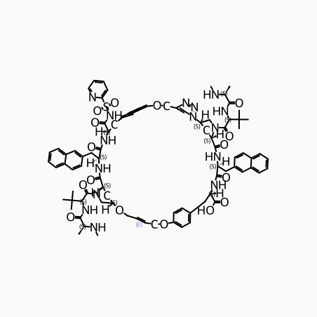 CN[C@@H](C)C(=O)N[C@H](C(=O)N1C[C@@H]2C[C@H]1C(=O)N[C@@H](Cc1ccc3ccccc3c1)C(=O)N[C@H](C(=O)O)Cc1ccc(cc1)OC/C=C/CO[C@H]1C[C@@H](C(=O)N[C@@H](Cc3ccc4ccccc4c3)C(=O)N[C@H](C(=O)NS(=O)(=O)c3ccccn3)Cc3ccc(cc3)OCc3cn2nn3)N(C(=O)[C@@H](NC(=O)[C@H](C)NC)C(C)(C)C)C1)C(C)(C)C